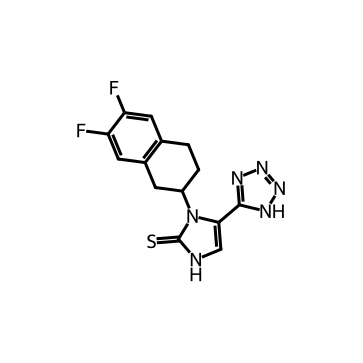 Fc1cc2c(cc1F)CC(n1c(-c3nnn[nH]3)c[nH]c1=S)CC2